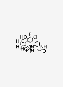 CC1c2c(cc(Cl)c(F)c2O)C(Nc2cccc3[nH]c(=O)ccc23)C(O)(C(F)(F)F)C1C